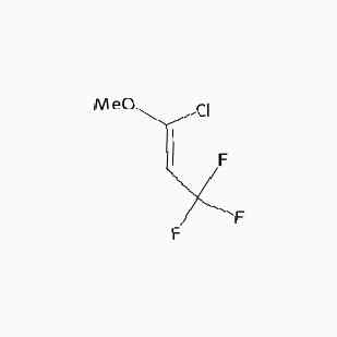 COC(Cl)=CC(F)(F)F